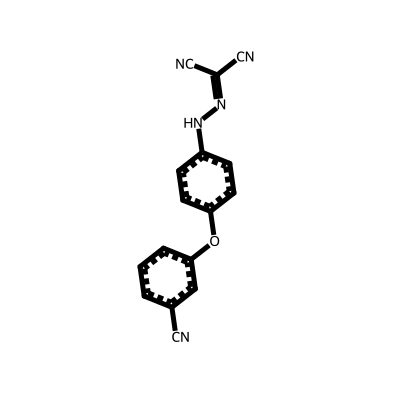 N#CC(C#N)=NNc1ccc(Oc2cccc(C#N)c2)cc1